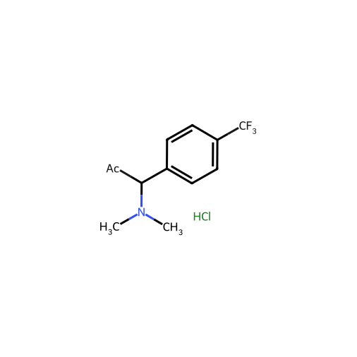 CC(=O)C(c1ccc(C(F)(F)F)cc1)N(C)C.Cl